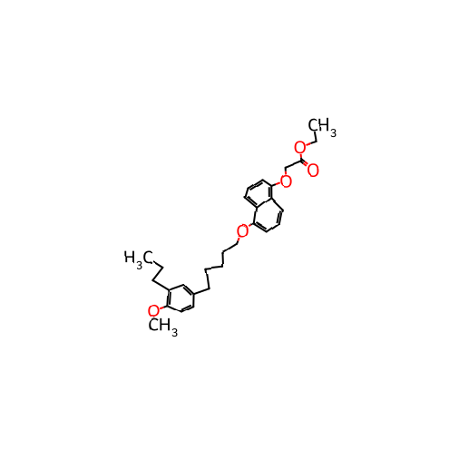 CCCc1cc(CCCCCOc2cccc3c(OCC(=O)OCC)cccc23)ccc1OC